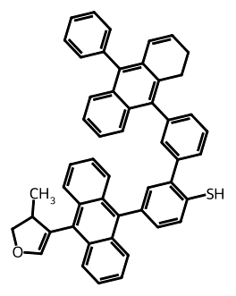 CC1COC=C1c1c2ccccc2c(-c2ccc(S)c(-c3cccc(-c4c5c(c(-c6ccccc6)c6ccccc46)C=CCC5)c3)c2)c2ccccc12